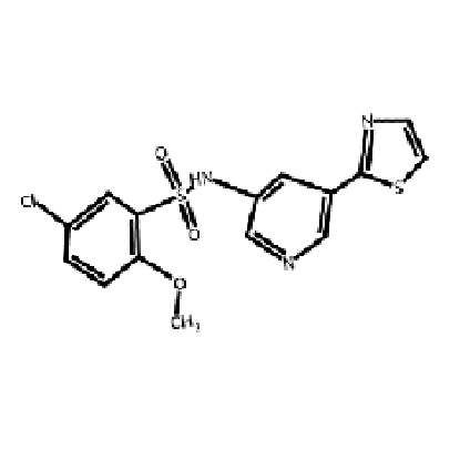 COc1ccc(Cl)cc1S(=O)(=O)Nc1cncc(-c2nccs2)c1